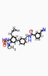 CN1c2cc(-c3cccc(CNC(=O)c4cccc(C#N)c4)c3)cc(CC3CC3)c2NS1(=O)=O